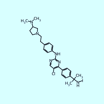 CN(C)C1CCN(CCc2ccc(Nc3ncc(Cl)c(-c4ccc(C(C)(C)NI)cc4)n3)cc2)C1